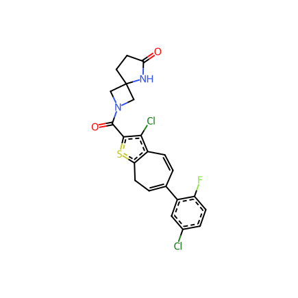 O=C1CCC2(CN(C(=O)c3sc4c(c3Cl)C=CC(c3cc(Cl)ccc3F)=CC4)C2)N1